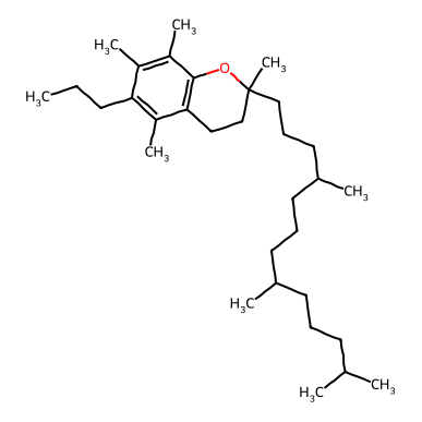 CCCc1c(C)c(C)c2c(c1C)CCC(C)(CCCC(C)CCCC(C)CCCC(C)C)O2